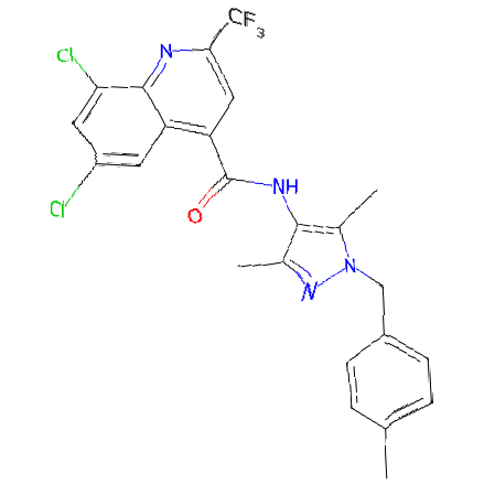 Cc1ccc(Cn2nc(C)c(NC(=O)c3cc(C(F)(F)F)nc4c(Cl)cc(Cl)cc34)c2C)cc1